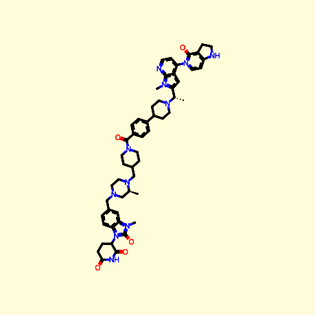 C[C@H]1CN(Cc2ccc3c(c2)n(C)c(=O)n3C2CCC(=O)NC2=O)CCN1CC1CCN(C(=O)c2ccc(C3CCN([C@@H](C)c4cc5c(-n6ccc7c(c6=O)CCN7)ccnc5n4C)CC3)cc2)CC1